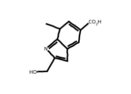 CC1C=C(C(=O)O)C=C2C=C(CO)N=C21